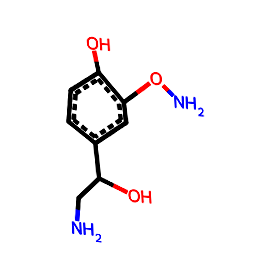 NCC(O)c1ccc(O)c(ON)c1